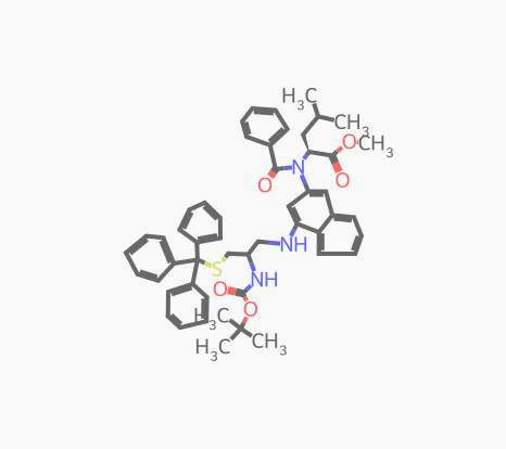 COC(=O)[C@H](CC(C)C)N(C(=O)c1ccccc1)c1cc(NCC(CSC(c2ccccc2)(c2ccccc2)c2ccccc2)NC(=O)OC(C)(C)C)c2ccccc2c1